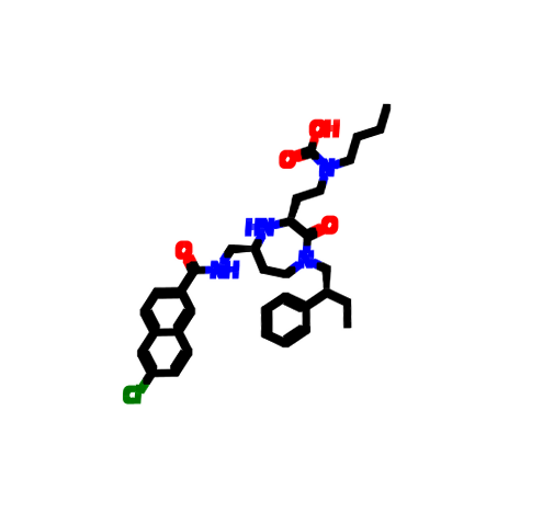 CCCCN(CC[C@@H]1N[C@H](CNC(=O)c2ccc3cc(Cl)ccc3c2)CCN(C[C@@H](CC)c2ccccc2)C1=O)C(=O)O